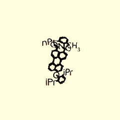 CCCc1cccc(C)c1N1C(=O)c2ccc3c4cccc5c(Oc6c(C(C)C)cccc6C(C)C)ccc(c6ccc(c2c36)C1=O)c54